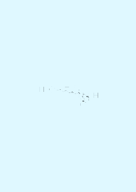 CCCCCCCCCC(CC)N1CC(C)OC(C)C1